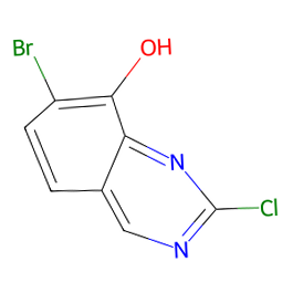 Oc1c(Br)ccc2cnc(Cl)nc12